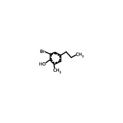 CCCc1cc(C)c(O)c(Br)c1